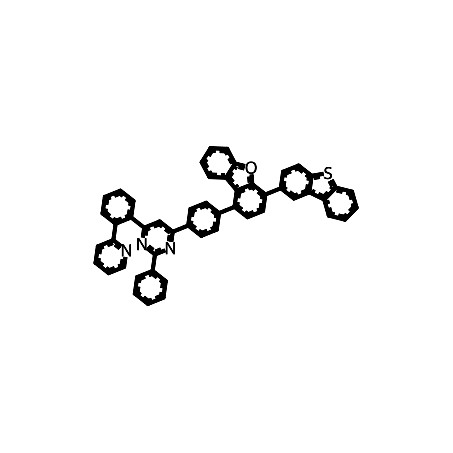 c1ccc(-c2nc(-c3ccc(-c4ccc(-c5ccc6sc7ccccc7c6c5)c5oc6ccccc6c45)cc3)cc(-c3ccccc3-c3ccccn3)n2)cc1